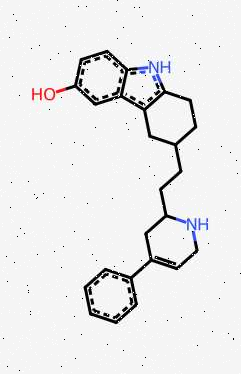 Oc1ccc2[nH]c3c(c2c1)CC(CCC1CC(c2ccccc2)=CCN1)CC3